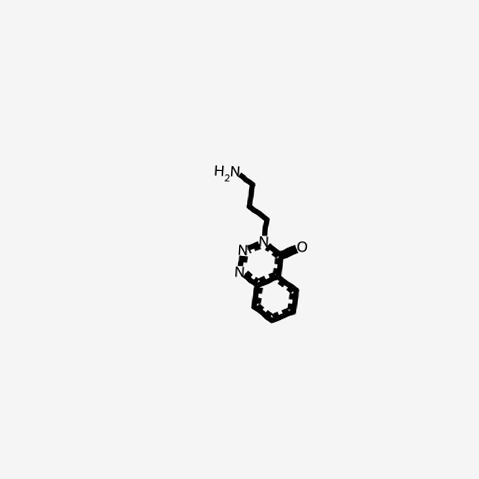 NCCCn1nnc2ccccc2c1=O